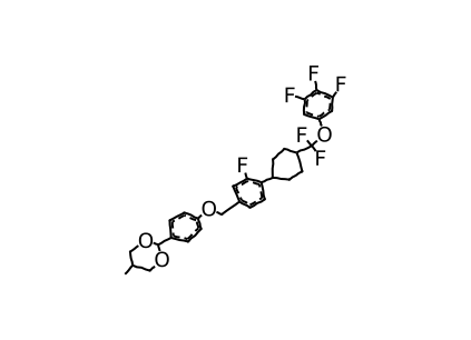 CC1COC(c2ccc(OCc3ccc(C4CCC(C(F)(F)Oc5cc(F)c(F)c(F)c5)CC4)c(F)c3)cc2)OC1